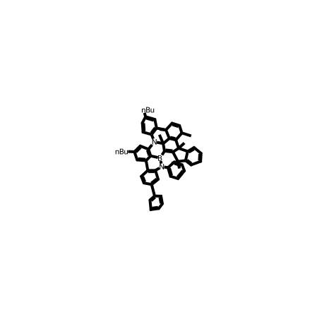 CCCCc1cc2c3c(c1)N1c4ccc(CCCC)cc4C4(C)C=CC(C)C5=C4C1(C)C(=C1C(C)(C)c4ccccc4C51C)B3N(c1ccccc1)c1cc(-c3ccccc3)ccc1-2